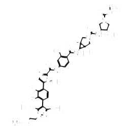 COCCn1nc(C)c(-c2ccc(-c3cnc(C(=O)Nc4ccc(C(=O)N[C@H]5[C@@H]6CN(C(=O)N[C@@H]7CN(C(=O)OC(C)(C)C)C[C@H]7O)C[C@@H]65)c(Cl)c4)n3C)c(F)c2F)c1C